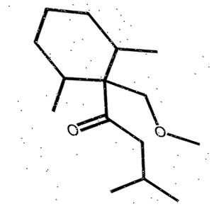 COCC1(C(=O)CC(C)C)C(C)CCCC1C